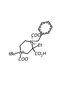 CCC1(C(=O)O)C[N+](C(=O)[O-])(C(C)(C)C)CC[N@+]1(Cc1ccccc1)C(=O)[O-]